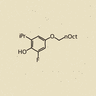 CCCCCCCCCOc1cc(F)c(O)c(C(C)C)c1